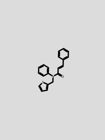 O=C(/C=C/c1ccccc1)N(Cc1cccs1)c1ccccc1